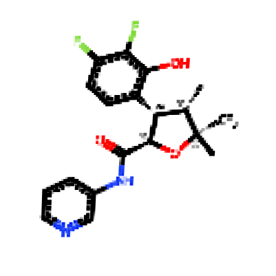 C[C@H]1[C@@H](c2ccc(F)c(F)c2O)[C@H](C(=O)Nc2cccnc2)O[C@@]1(C)C(F)(F)F